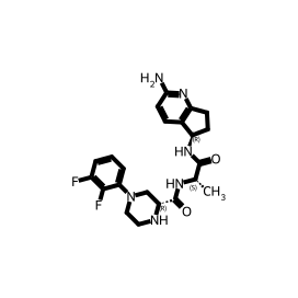 C[C@H](NC(=O)[C@H]1CN(c2cccc(F)c2F)CCN1)C(=O)N[C@@H]1CCc2nc(N)ccc21